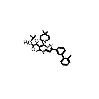 Cc1ccccc1-c1cccc(-c2cc3nc(C)c([C@H](OC(C)(C)C)C(=O)O)c(N4CCC(C)(C)CC4)n3n2)c1